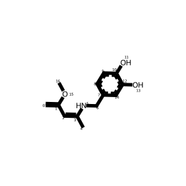 C=C(/C=C(/C)NCc1ccc(O)c(O)c1)OC